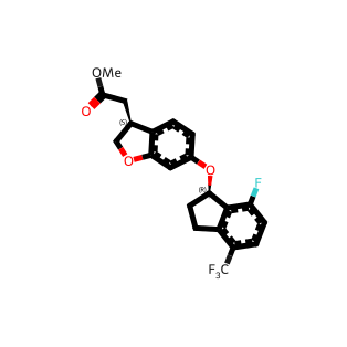 COC(=O)C[C@@H]1COc2cc(O[C@@H]3CCc4c(C(F)(F)F)ccc(F)c43)ccc21